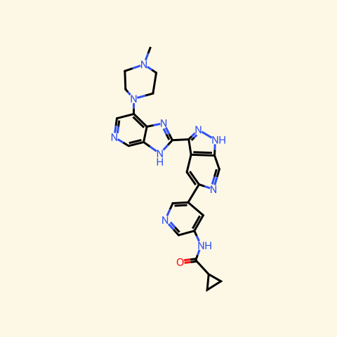 CN1CCN(c2cncc3[nH]c(-c4n[nH]c5cnc(-c6cncc(NC(=O)C7CC7)c6)cc45)nc23)CC1